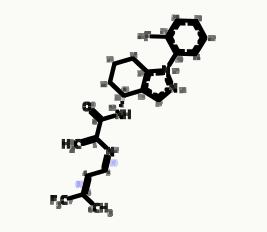 C=C(/N=C\C=C(/C)C(F)(F)F)C(=O)N[C@@H]1CCCc2c1cnn2-c1ccccc1F